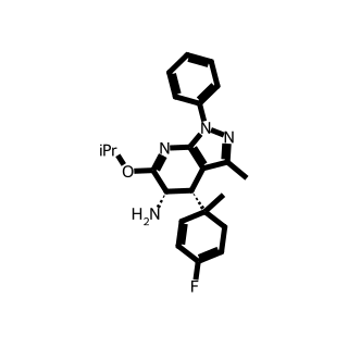 Cc1nn(-c2ccccc2)c2c1[C@H](C1(C)C=CC(F)=CC1)[C@H](N)C(OC(C)C)=N2